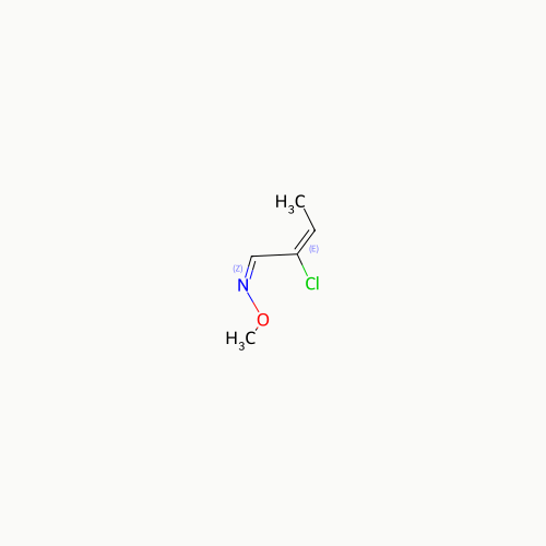 C/C=C(Cl)\C=N/OC